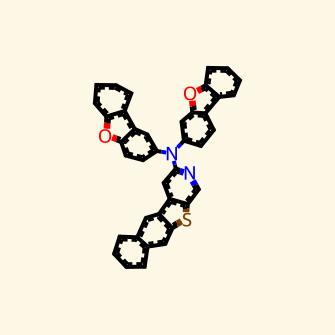 c1ccc2cc3c(cc2c1)sc1cnc(N(c2ccc4c(c2)oc2ccccc24)c2ccc4oc5ccccc5c4c2)cc13